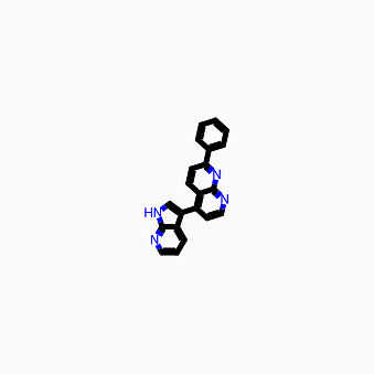 c1ccc(-c2ccc3c(-c4c[nH]c5ncccc45)ccnc3n2)cc1